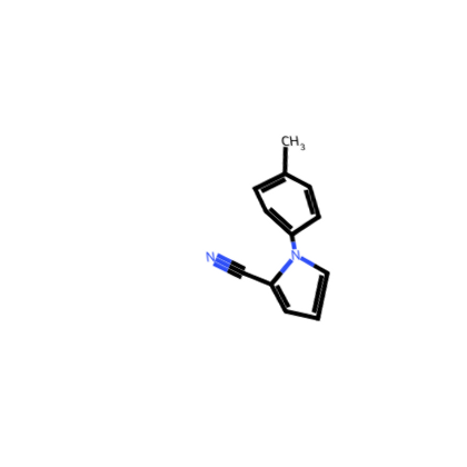 Cc1ccc(-n2cccc2C#N)cc1